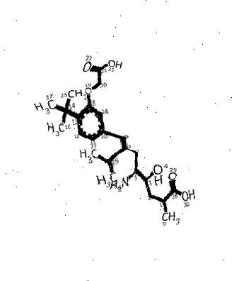 CC(C[C@H](O)[C@@H](N)C[C@H](Cc1ccc(C(C)(C)C)c(OCC(=O)O)c1)C(C)C)C(=O)O